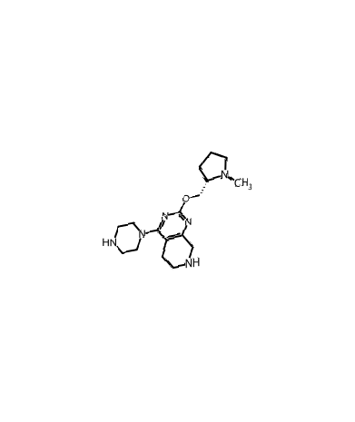 CN1CCC[C@H]1COc1nc2c(c(N3CCNCC3)n1)CCNC2